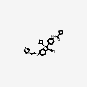 N#Cc1c(-c2ccc(NC(=O)C3CCC3)cc2)n(C2CCC2)c2cc(OCCn3ccnc3)ccc12